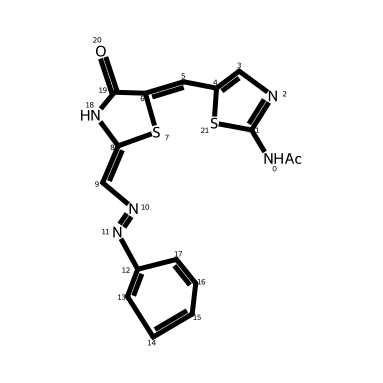 CC(=O)Nc1ncc(C=c2sc(=CN=Nc3ccccc3)[nH]c2=O)s1